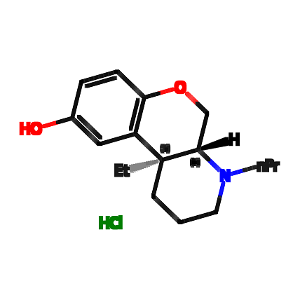 CCCN1CCC[C@@]2(CC)c3cc(O)ccc3OC[C@H]12.Cl